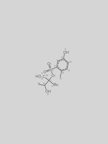 CCC(C)C(OS(=O)(=O)c1cc(O)ccc1C)(C(=O)O)C(C)O